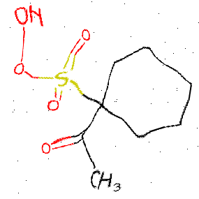 CC(=O)C1(S(=O)(=O)OO)CCCCC1